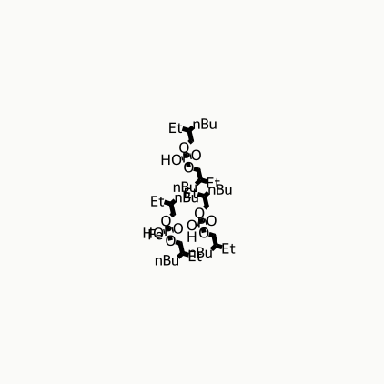 CCCCC(CC)COP(=O)(O)OCC(CC)CCCC.CCCCC(CC)COP(=O)(O)OCC(CC)CCCC.CCCCC(CC)COP(=O)(O)OCC(CC)CCCC.[Fe]